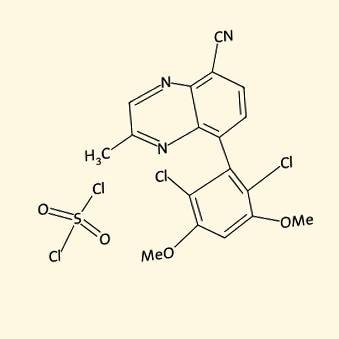 COc1cc(OC)c(Cl)c(-c2ccc(C#N)c3ncc(C)nc23)c1Cl.O=S(=O)(Cl)Cl